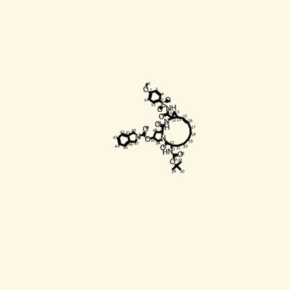 COc1ccc(S(=O)(=O)NC(=O)C23CC2C=CCCCCCC(NC(=O)OC(C)(C)C)C(=O)N2CC(OC(=O)N4Cc5ccccc5C4)CC2C(=O)N3)cc1